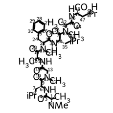 CN[C@@H](C)C(=O)N[C@@H](CC(C)C)C(=O)N(C)CC(=O)N[C@@H](C)C(=O)N(C)[C@@H](Cc1ccccc1)C(=O)N[C@@H](CC(C)C)C(=O)N(C)[C@@H](C)C(=O)N[C@@H](CC(C)C)C(=O)O